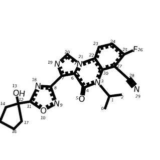 CC(C)n1c(=O)c2c(-c3noc(C4(O)CCCC4)n3)ncn2c2ccc(F)c(C#N)c21